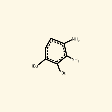 CCC(C)c1ccc(N)c(N)c1C(C)CC